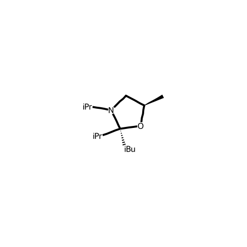 CCC(C)[C@@]1(C(C)C)O[C@H](C)CN1C(C)C